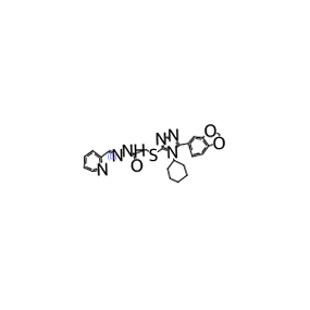 O=C(CSc1nnc(-c2ccc3c(c2)OCO3)n1C1CCCCC1)N/N=C/c1ccccn1